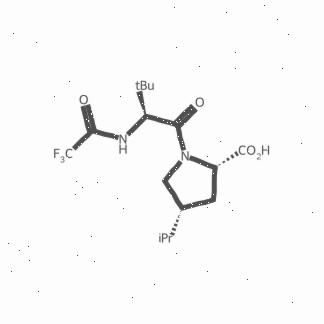 CC(C)[C@H]1C[C@@H](C(=O)O)N(C(=O)[C@@H](NC(=O)C(F)(F)F)C(C)(C)C)C1